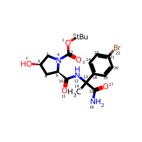 CC(C)(C)OC(=O)N1C[C@H](O)C[C@@H]1C(=O)NC(C)(C(N)=O)c1ccc(Br)cc1